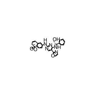 O=S1(=O)CC=Cc2cc(Nc3ncc(-c4ncco4)c(N[C@H](CO)c4ccccc4)n3)ccc21